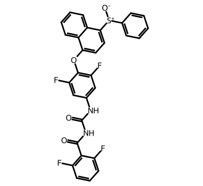 O=C(NC(=O)c1c(F)cccc1F)Nc1cc(F)c(Oc2ccc([S+]([O-])c3ccccc3)c3ccccc23)c(F)c1